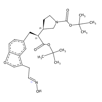 CC(C)(C)OC(=O)[C@@H](Cc1ccc2occ(C/C=N/O)c2c1)[C@H]1CCN(C(=O)OC(C)(C)C)C1